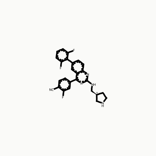 N#Cc1ccc(-c2nc(NC[C@H]3CCNC3)nc3ccc(-c4c(F)cccc4F)cc23)cc1F